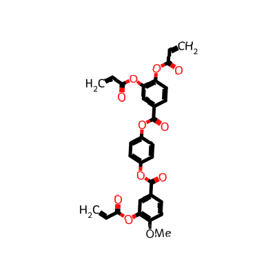 C=CC(=O)Oc1cc(C(=O)Oc2ccc(OC(=O)c3ccc(OC(=O)C=C)c(OC(=O)C=C)c3)cc2)ccc1OC